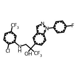 OC(CNc1cc(C(F)(F)F)ccc1Cl)(c1ccc2c(cnn2-c2ccc(F)cc2)c1)C(F)(F)F